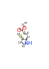 CCOC(=O)C1=CC=c2[nH]ccc2=S1C